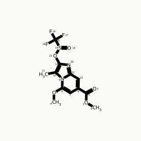 COC(=O)c1cc(OC)n2c(C)c(OS(=O)C(F)(F)F)nc2c1